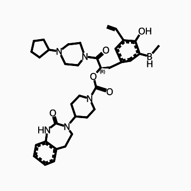 C=Cc1cc(C[C@@H](OC(=O)N2CCC(N3CCc4ccccc4NC3=O)CC2)C(=O)N2CCN(C3CCCC3)CC2)cc(BC)c1O